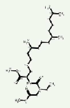 CCN(CC(=O)OC)C(=O)NC(CSCCC(C)CCCC(C)CCCC(C)C)C(=O)OC